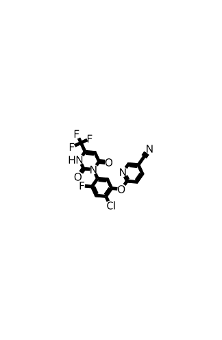 N#Cc1ccc(Oc2cc(-n3c(=O)cc(C(F)(F)F)[nH]c3=O)c(F)cc2Cl)nc1